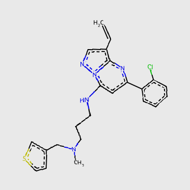 C=Cc1cnn2c(NCCCN(C)Cc3ccsc3)cc(-c3ccccc3Cl)nc12